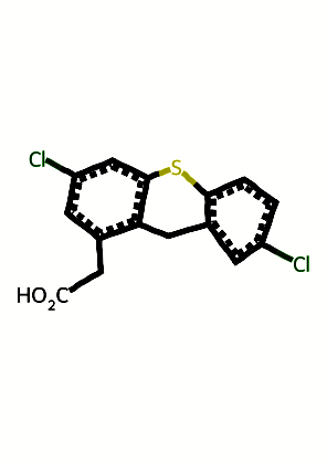 O=C(O)Cc1cc(Cl)cc2c1Cc1cc(Cl)ccc1S2